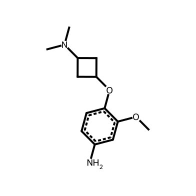 COc1cc(N)ccc1OC1CC(N(C)C)C1